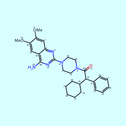 COc1cc2nc(N3CCN(C(=O)C(c4ccccc4)C4CCCCC4)CC3)nc(N)c2cc1OC